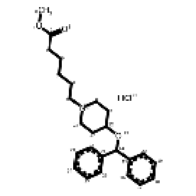 COC(=O)CCCCCN1CCC(OC(c2ccccc2)c2ccccc2)CC1.Cl